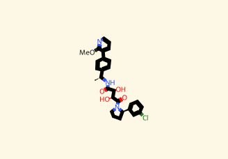 COc1ncccc1-c1ccc([C@@H](C)NC(=O)[C@H](O)[C@@H](O)C(=O)N2CCC[C@@H]2c2cccc(Cl)c2)cc1